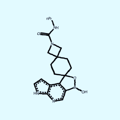 CCCNC(=O)N1CC2(CCC3(CC2)OB(O)c2cnc4[nH]ccc4c23)C1